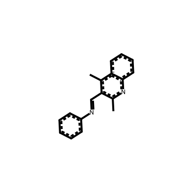 Cc1nc2ccccc2c(C)c1C=Nc1ccccc1